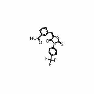 O=C(O)c1cccc(C=C2SC(=S)N(c3ccc(C(F)(F)F)cc3)C2=O)c1